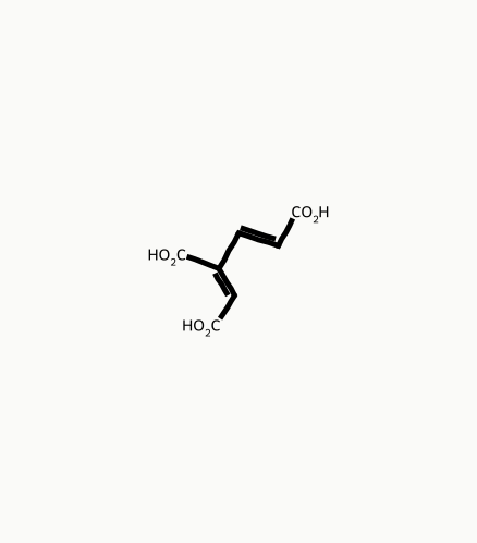 O=C(O)C=CC(=CC(=O)O)C(=O)O